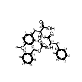 COc1ccc(C[C@H](NC(=O)[C@@H](Cc2ccccc2)NC(=O)OCc2ccccc2)C(=O)O)cc1